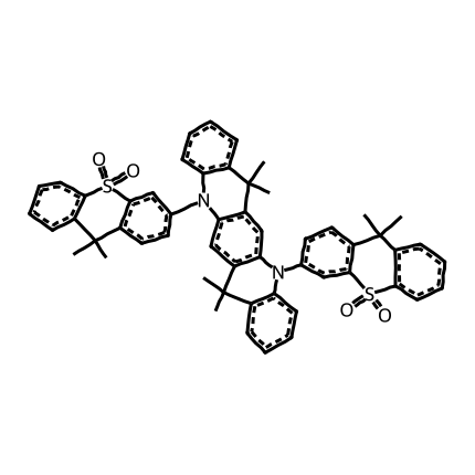 CC1(C)c2ccccc2N(c2ccc3c(c2)S(=O)(=O)c2ccccc2C3(C)C)c2cc3c(cc21)N(c1ccc2c(c1)S(=O)(=O)c1ccccc1C2(C)C)c1ccccc1C3(C)C